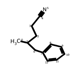 CC(CCC#N)Cc1ccccc1